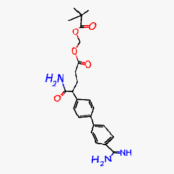 CC(C)(C)C(=O)OCOC(=O)CCC(C(N)=O)c1ccc(-c2ccc(C(=N)N)cc2)cc1